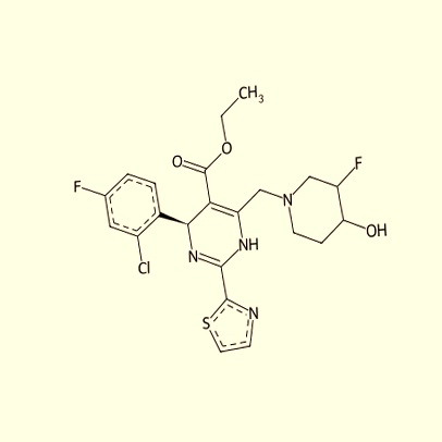 CCOC(=O)C1=C(CN2CCC(O)C(F)C2)NC(c2nccs2)=N[C@H]1c1ccc(F)cc1Cl